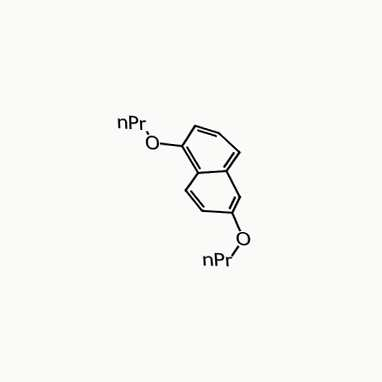 CCCOc1ccc2c(OCCC)cccc2c1